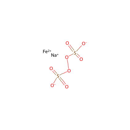 O=S(=O)([O-])OOS(=O)(=O)[O-].[Fe+2].[Na+]